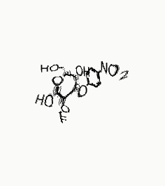 O=[N+]([O-])c1ccc(O[C@H]2[C@@H](O)[C@@H](CO)O[C@@H](O)[C@@H]2OCF)cc1